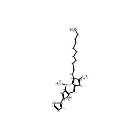 CCCCCCCCCCCC1=CC(=Cc2[nH]c(-c3ccc[nH]3)cc2OC)N=C1C